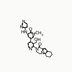 Cn1cc(-c2ccnc(N3CCn4c(cc5c4CCCC5)C3=O)c2CO)cc(Nc2ccncn2)c1=O